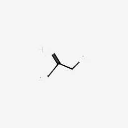 C=C(CC(C)=O)C(C)=O